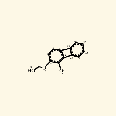 [O]c1c(O[CH]O)ccc2c1-c1ccccc1-2